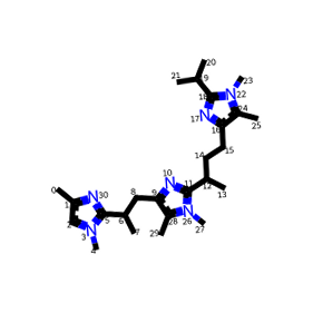 Cc1cn(C)c(C(C)Cc2nc(C(C)CCc3nc(C(C)C)n(C)c3C)n(C)c2C)n1